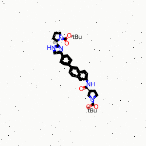 CC(C)(C)OC(=O)N1CC[C@H](C(=O)Nc2ccc3cc(-c4ccc(-c5c[nH]c([C@@H]6CCCN6C(=O)OC(C)(C)C)n5)cc4)ccc3c2)C1